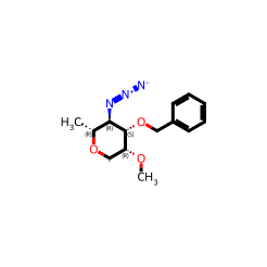 CO[C@@H]1[CH]O[C@H](C)[C@@H](N=[N+]=[N-])[C@@H]1OCc1ccccc1